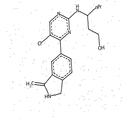 C=C1NCc2ccc(-c3nc(NC(CCC)CCO)ncc3Cl)cc21